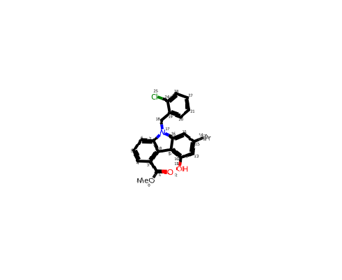 COC(=O)c1cccc2c1c1c(O)cc(C(C)C)cc1n2Cc1ccccc1Cl